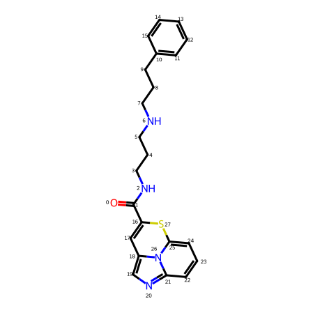 O=C(NCCCNCCCc1ccccc1)C1=Cc2cnc3cccc(n23)S1